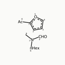 CC(=O)c1ccco1.CCCCCCN(C)C=O